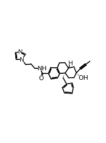 CC#C[C@@]1(O)CC[C@@]2(Cc3ccccc3)c3ccc(C(=O)NCCCn4ccnc4)cc3CC[C@@H]2C1